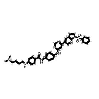 CN(C)C/C=C/CNc1ccc(C(=O)Nc2ccc(Nc3cc(-c4cnc5c(ccn5S(=O)(=O)c5ccccc5)c4)ncn3)cc2)cc1